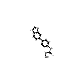 CC(C)(C)OC(=O)Nc1ccc(-c2ccc3scnc3c2)cc1